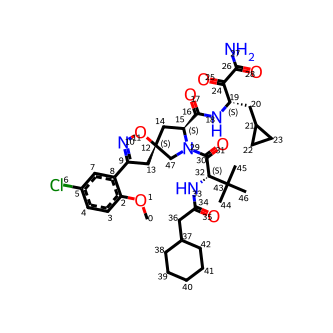 COc1ccc(Cl)cc1C1=NO[C@]2(C1)C[C@@H](C(=O)N[C@@H](CC1CC1)C(=O)C(N)=O)N(C(=O)[C@@H](NC(=O)CC1CCCCC1)C(C)(C)C)C2